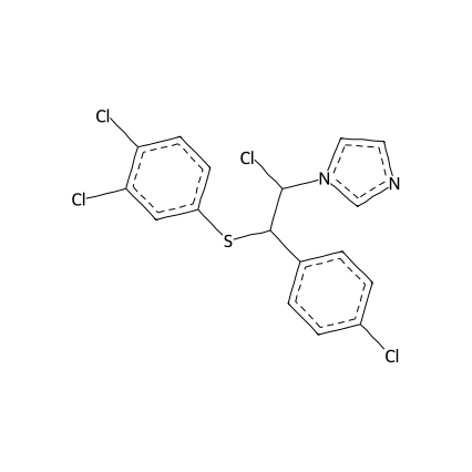 Clc1ccc(C(Sc2ccc(Cl)c(Cl)c2)C(Cl)n2ccnc2)cc1